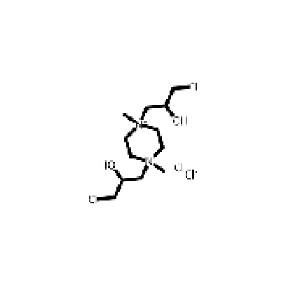 C[N+]1(CC(O)CCl)CC[N+](C)(CC(O)CCl)CC1.[Cl-].[Cl-]